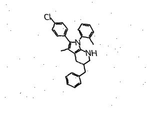 Cc1ccccc1-n1c2c(c(C)c1-c1ccc(Cl)cc1)CC(Cc1ccccc1)CN2